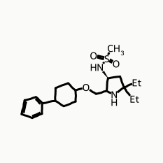 CCC1(CC)C[C@H](NS(C)(=O)=O)C(COC2CCC(c3ccccc3)CC2)N1